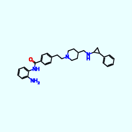 Nc1ccccc1NC(=O)c1ccc(CCN2CCC(CNC3CC3c3ccccc3)CC2)cc1